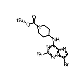 CC(C)c1nc(NC2CCN(C(=O)OC(C)(C)C)CC2)c2ncc(Br)n2n1